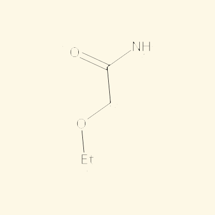 CCO[CH]C([NH])=O